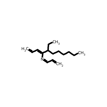 C=C/C=N\C(=C/C=C)C(CC)CCCCCC